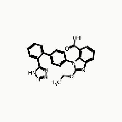 CCOc1nc2cccc(C(=O)O)c2n1-c1ccc(-c2ccccc2-c2nnn[nH]2)cc1